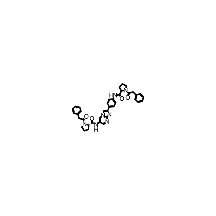 O=C(Nc1ccc(-c2cn3cc(NC(=O)[C@@H]4CCCN4C(=O)Cc4ccccc4)cnc3n2)cc1)C1CCCN1C(=O)Cc1ccccc1